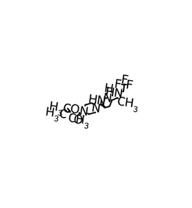 CC(NCC(F)(F)F)C1CC=C(N2CCN(C(=O)OC(C)(C)C)CC2)NN1